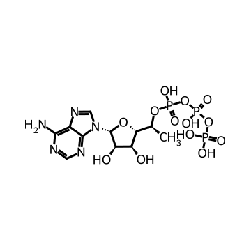 C[C@H](OP(=O)(O)OP(=O)(O)OP(=O)(O)O)[C@H]1O[C@@H](n2cnc3c(N)ncnc32)[C@H](O)[C@@H]1O